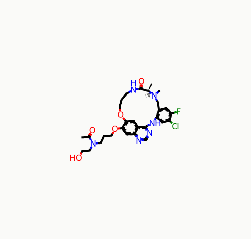 CC(=O)N(CCO)CCCOc1cc2ncnc3c2cc1OCCCNC(=O)[C@@H](C)N(C)Cc1cc(F)c(Cl)cc1N3